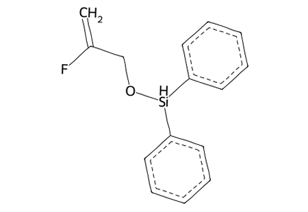 C=C(F)CO[SiH](c1ccccc1)c1ccccc1